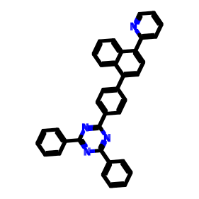 c1ccc(-c2nc(-c3ccccc3)nc(-c3ccc(-c4ccc(-c5ccccn5)c5ccccc45)cc3)n2)cc1